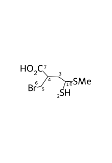 CSC(S)CC(CBr)C(=O)O